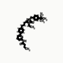 CCCC(=O)Nc1cccc(-c2ccc(CCCc3nn(Cc4ccc(C(C)(C)C)cc4)c(=O)n3CC)cc2)n1